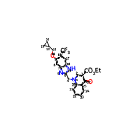 CCOC(=O)c1cn(Cc2nc3cc(OCC4CC4)c(C(F)(F)F)cc3[nH]2)c2ccccc2c1=O